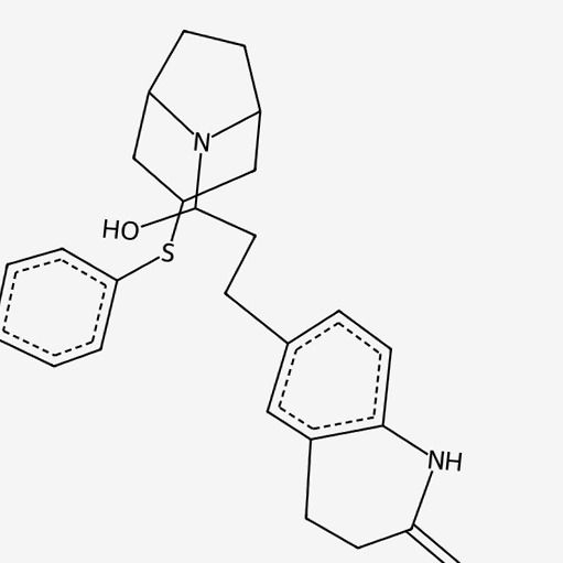 O=C1CCc2cc(CCC(O)N3C4CCC3CC(Sc3ccccc3)C4)ccc2N1